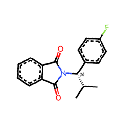 CC(C)[C@@H](c1ccc(F)cc1)N1C(=O)c2ccccc2C1=O